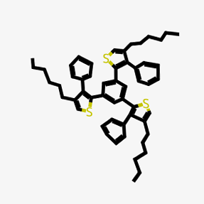 CCCCCCc1csc(-c2cc(-c3scc(CCCCCC)c3-c3ccccc3)cc(-c3scc(CCCCCC)c3-c3ccccc3)c2)c1-c1ccccc1